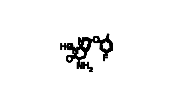 Cc1ccc(F)cc1Oc1cnc2c(c1)C[C@H](N)C(=O)N2O